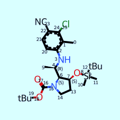 Cc1c(N[C@H](C)[C@H]2[C@@H](O[Si](C)(C)C(C)(C)C)CCN2C(=O)OC(C)(C)C)ccc(C#N)c1Cl